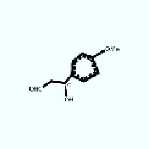 COc1ccc([C@@H](O)CC=O)cc1